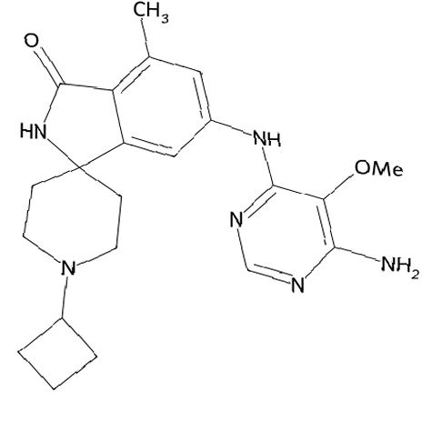 COc1c(N)ncnc1Nc1cc(C)c2c(c1)C1(CCN(C3CCC3)CC1)NC2=O